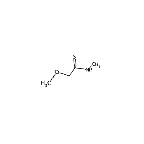 CNC(=S)COC